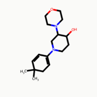 CC1(C)C=CC(N2CCC(O)C(N3CCOCC3)C2)=CC1